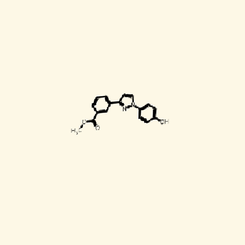 COC(=O)c1cccc(-c2ccn(-c3ccc(O)cc3)n2)c1